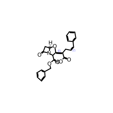 O=C(O)/C(C/C=C\c1ccccc1)=C1/O[C@@H]2CC(=O)N2C1C(=O)OCc1ccccc1